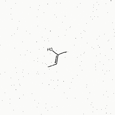 [CH2]/C(O)=C/C